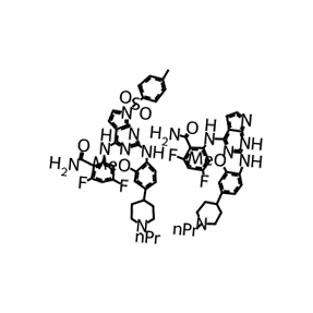 CCCN1CCC(c2ccc(Nc3nc(Nc4cc(F)cc(F)c4C(N)=O)c4ccn(S(=O)(=O)c5ccc(C)cc5)c4n3)c(OC)c2)CC1.CCCN1CCC(c2ccc(Nc3nc(Nc4cc(F)cc(F)c4C(N)=O)c4ccnc-4[nH]3)c(OC)c2)CC1